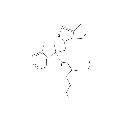 CCCCC(C)CP[C]1([Hf][CH]2SC=C3C=CC=C32)C=Cc2ccccc21.CCl